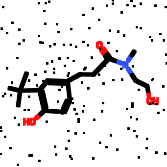 CN(CCO)C(=O)CCc1ccc(O)c(C(C)(C)C)c1